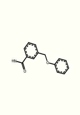 [NH]C(=O)c1cccc(COc2ccccc2)c1